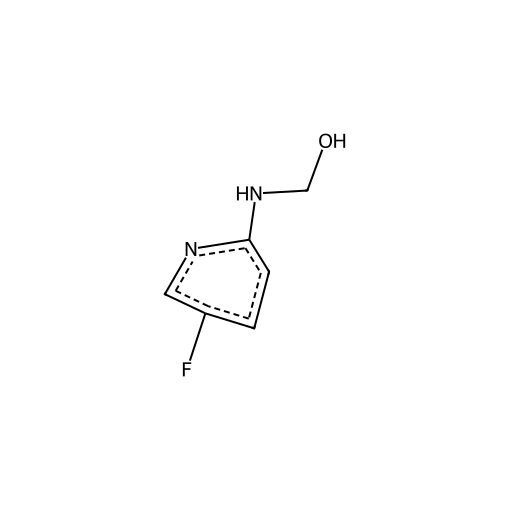 OCNc1ccc(F)cn1